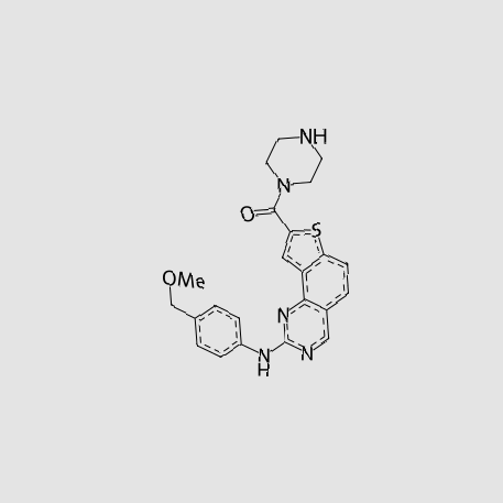 COCc1ccc(Nc2ncc3ccc4sc(C(=O)N5CCNCC5)cc4c3n2)cc1